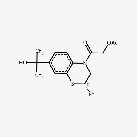 CC[C@H]1CN(C(=O)COC(C)=O)c2ccc(C(O)(C(F)(F)F)C(F)(F)F)cc2S1